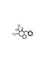 CNC1C(=O)N(Cc2ccncn2)C2CCCC2CC1C